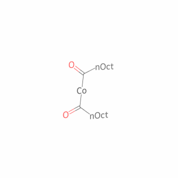 CCCCCCCC[C](=O)[Co][C](=O)CCCCCCCC